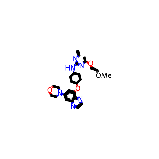 C=C/N=C(\N=C(/C)OCCOC)N[C@H]1CC[C@@H](Oc2cc(N3CCOCC3)cc3nccnc23)CC1